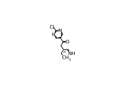 CC[C@H](C=N)CC(=O)c1cnc(Cl)nc1